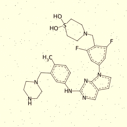 Cc1ccc(Nc2ncc3ccn(-c4cc(F)c(CN5CCS(O)(O)CC5)c(F)c4)c3n2)cc1CN1CCNCC1